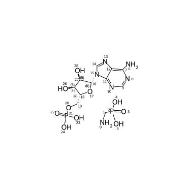 NCP(=O)(O)O.Nc1ncnc2c1ncn2[C@@H]1O[C@H](COP(=O)(O)O)[C@@H](O)[C@H]1O